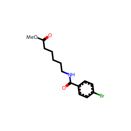 COC(=O)CCCCCNC(=O)c1ccc(Br)cc1